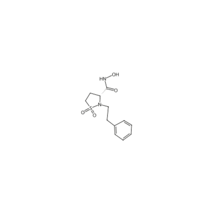 O=C(NO)[C@H]1CCS(=O)(=O)N1CCc1ccccc1